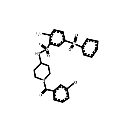 O=C(c1cccc(Cl)c1)N1CCC(NS(=O)(=O)c2cc(S(=O)(=O)c3ccccc3)ccc2C(F)(F)F)CC1